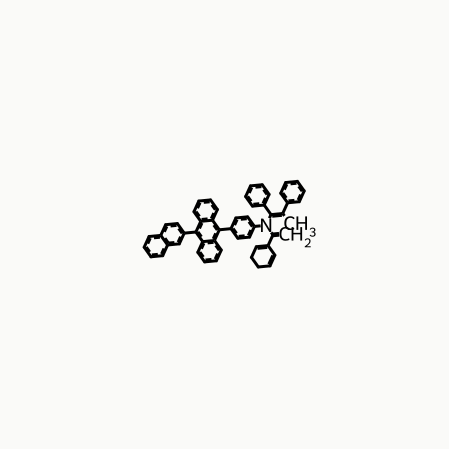 C=C(C1=CCCC=C1)N(/C(=C(\C)c1ccccc1)c1ccccc1)c1ccc(-c2c3ccccc3c(-c3ccc4ccccc4c3)c3ccccc23)cc1